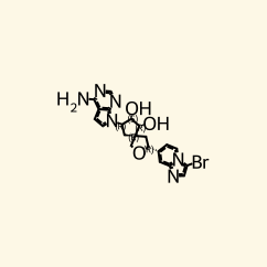 Nc1ncnc2c1ccn2[C@@H]1C[C@@]2(CO[C@@H](c3ccn4c(Br)cnc4c3)C2)[C@@H](O)[C@H]1O